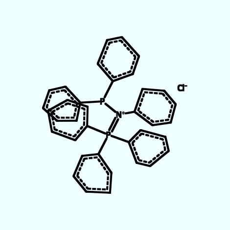 [Cl-].c1ccc([N+](P(c2ccccc2)c2ccccc2)=P(c2ccccc2)(c2ccccc2)c2ccccc2)cc1